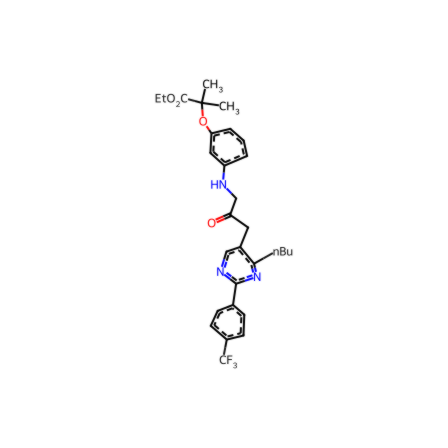 CCCCc1nc(-c2ccc(C(F)(F)F)cc2)ncc1CC(=O)CNc1cccc(OC(C)(C)C(=O)OCC)c1